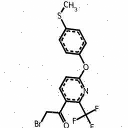 CSc1ccc(Oc2ccc(C(=O)CBr)c(C(F)(F)F)n2)cc1